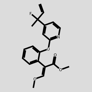 C=CC(C)(F)c1ccnc(Oc2ccccc2/C(=C\OC)C(=O)OC)c1